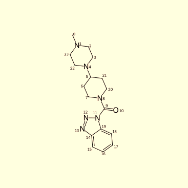 CN1CCN(C2CCN(C(=O)n3nnc4ccccc43)CC2)CC1